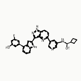 Oc1cc(F)cc(-c2cccc3[nH]c(-c4n[nH]c5ccc(-c6cncc(NC(O)C7CCC7)c6)nc45)cc23)c1